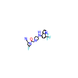 N#CC1C[C@H](F)CN1C(=O)CN1CCC(Nc2ccc(C(F)(F)F)c3ncccc23)CC1